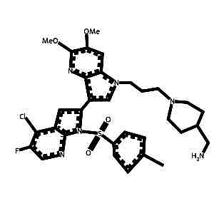 COc1cc2c(nc1OC)c(-c1cc3c(Cl)c(F)cnc3n1S(=O)(=O)c1ccc(C)cc1)cn2CCCN1CCC(CN)CC1